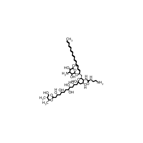 C/C=C/C=C/C=C/C=C/C=C/C=C/C=C/[C@@H](C[C@@H]1O[C@](O)(C[C@@H](O)C[C@@H](O)[C@H](O)CC[C@@H](O)C[C@@H](O)CC(=O)O[C@@H](C)[C@H](C)CO)C[C@H](O)[C@H]1NC(=O)NCCN)OC1OC(C)C(O)C(N)C1O